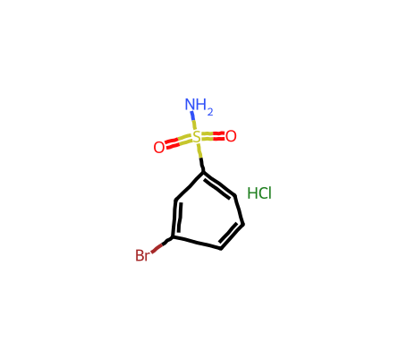 Cl.NS(=O)(=O)c1cccc(Br)c1